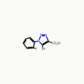 CCOC(=O)c1nnn(-c2ccccc2F)c1C(C)C